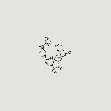 CC(=O)N[C@@H]1CCN(c2ccc(C3(C(=O)N4CC[C@@]5(C4)OC(=O)c4ccccc45)CC3)cn2)C1